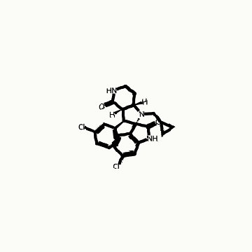 O=C1NCC[C@H]2[C@@H]1[C@H](c1cccc(Cl)c1)[C@]1(C(=O)Nc3cc(Cl)ccc31)N2CC1CC1